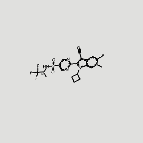 Cc1cc2c(cc1F)c(C#N)c(-c1ncc(S(=O)(=O)N[C@@H](C)C(F)(F)F)cn1)n2C1CCC1